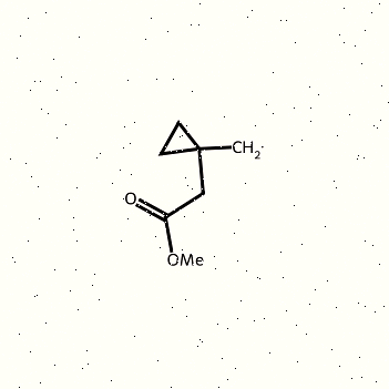 [CH2]C1(CC(=O)OC)CC1